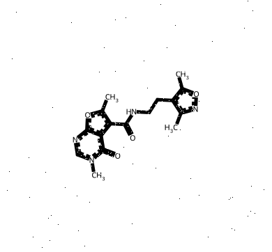 Cc1noc(C)c1CCNC(=O)c1c(C)oc2ncn(C)c(=O)c12